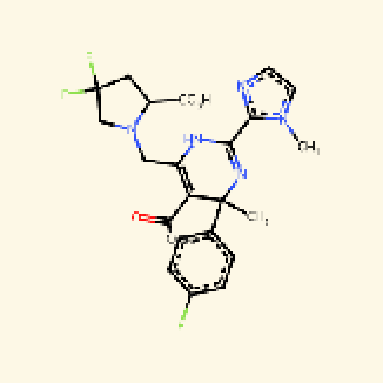 COC(=O)C1=C(CN2CC(F)(F)CC2C(=O)O)NC(c2nccn2C)=NC1(C)c1ccc(F)cc1